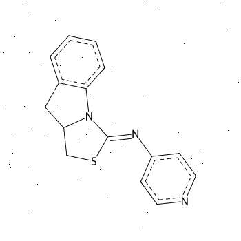 c1ccc2c(c1)CC1CSC(=Nc3ccncc3)N21